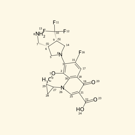 COc1c(N2C[C@H](CN)[C@H](C(F)(F)F)C2)c(F)cc2c(=O)c(C(=O)O)cn(C3CC3)c12